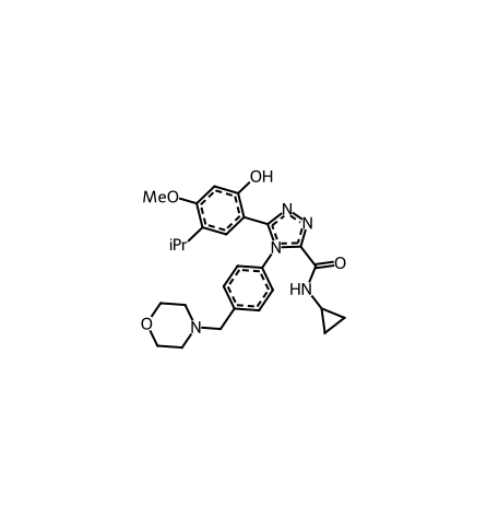 COc1cc(O)c(-c2nnc(C(=O)NC3CC3)n2-c2ccc(CN3CCOCC3)cc2)cc1C(C)C